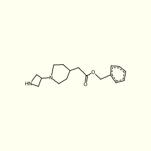 O=C(CC1CCN(C2CNC2)CC1)OCc1ccccc1